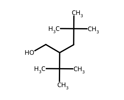 CC(C)(C)CC(CO)C(C)(C)C